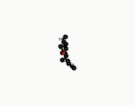 CN(c1ccccc1)c1c(-c2ccc3cc(N(c4ccccc4)c4ccc5cc(-c6cc7ccccc7o6)ccc5c4)ccc3c2)ccc2c3ccc4cc(Nc5ccccc5)ccc4c3n(-c3ccccc3)c12